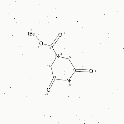 CC(C)(C)OC(=O)N1CC(=O)[N]C(=O)C1